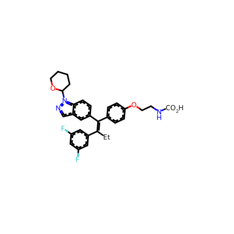 CCC(=C(c1ccc(OCCNC(=O)O)cc1)c1ccc2c(cnn2C2CCCCO2)c1)c1cc(F)cc(F)c1